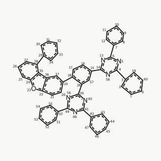 c1ccc(-c2nc(-c3ccccc3)nc(-c3ccc(-c4ccc5oc6cccc(-c7ccccc7)c6c5c4)c(-c4nc(-c5ccccc5)nc(-c5ccccc5)n4)c3)n2)cc1